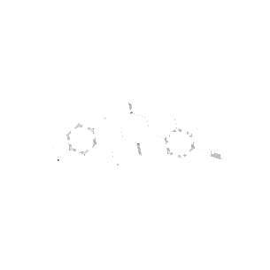 N#Cc1ccc(N2CC(=O)N(Cc3ccc(C(F)(F)F)cc3)[C@@H](CO)C2=O)c(F)c1